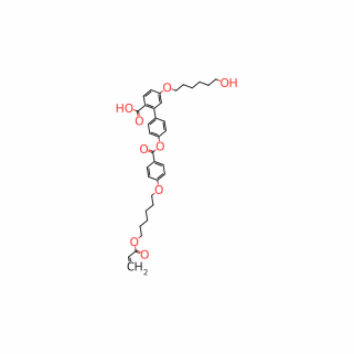 C=CC(=O)OCCCCCCOc1ccc(C(=O)Oc2ccc(-c3cc(OCCCCCCO)ccc3C(=O)O)cc2)cc1